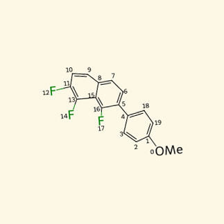 COc1ccc(-c2ccc3ccc(F)c(F)c3c2F)cc1